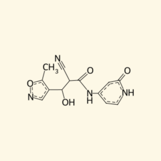 Cc1oncc1C(O)C(C#N)C(=O)Nc1cc[nH]c(=O)c1